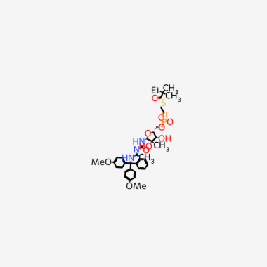 CCC(C)(C)C(=O)SCCO[PH](=O)OC[C@H]1O[C@@H](NC(=O)/N=C(\C)NC(c2ccccc2)(c2ccc(OC)cc2)c2ccc(OC)cc2)[C@@](C)(O)C1O